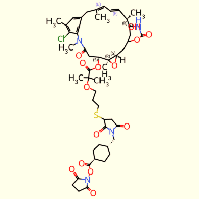 C/C1=C\C=C\[C@@H](C)[C@@]2(O)CC(C[C@@H]3O[C@@]3(C)[C@@H](OC(=O)C(C)(C)OCCCSC3CC(=O)N(C[C@H]4CC[C@H](C(=O)ON5C(=O)CCC5=O)CC4)C3=O)CC(=O)N(C)c3cc(cc(C)c3Cl)C1)OC(=O)N2